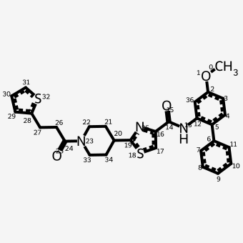 COc1ccc(-c2ccccc2)c(NC(=O)c2csc(C3CCN(C(=O)CCc4cccs4)CC3)n2)c1